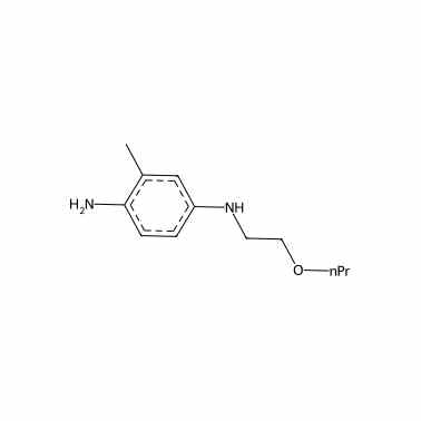 CCCOCCNc1ccc(N)c(C)c1